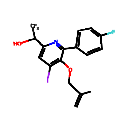 C=C(C)COc1c(I)cc(C(O)C(F)(F)F)nc1-c1ccc(F)cc1